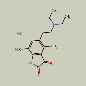 CCN(CC)CCc1cc(C)c2c(c1C)C(=O)C(=O)N2.Cl